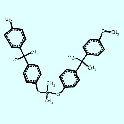 COc1ccc(C(C)(C)c2ccc(O[Si](C)(C)Oc3ccc(C(C)(C)c4ccc(O)cc4)cc3)cc2)cc1